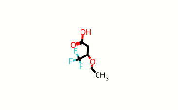 CCOC(CC(=O)O)C(F)(F)F